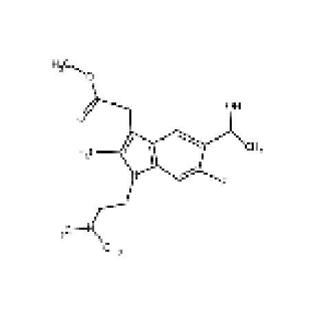 COC(=O)Cc1c(C)n(CCN(C)C)c2cc(F)c(C(C)O)cc12